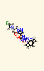 NS(=O)(=NC(=O)Nc1c2c(cc3c1CC3)CC2)c1cnn2c1OCC(N1CC(F)C1)C2